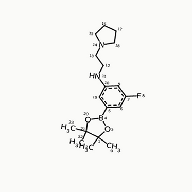 CC1(C)OB(c2cc(F)cc(NCCN3CCCC3)c2)OC1(C)C